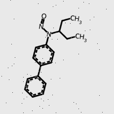 CCC(CC)N(N=O)c1ccc(-c2ccccc2)cc1